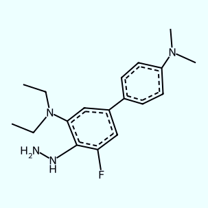 CCN(CC)c1cc(-c2ccc(N(C)C)cc2)cc(F)c1NN